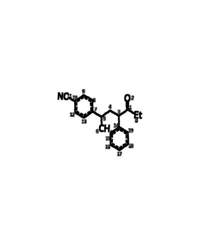 CCC(=O)C(CC(C)c1ccc(C#N)cc1)c1ccccc1